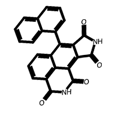 O=C1NC(=O)c2c1c(-c1cccc3ccccc13)c1cccc3c1c2C(=O)NC3=O